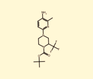 Cc1nc(N2CCN(C(=O)OC(C)(C)C)C(C(F)(F)F)C2)ccc1N